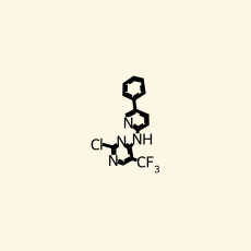 FC(F)(F)c1cnc(Cl)nc1Nc1ccc(-c2ccccc2)cn1